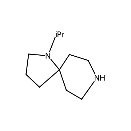 CC(C)N1CCCC12CCNCC2